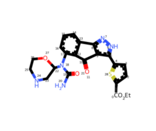 CCOC(=O)c1ccc(-c2[nH]nc3c2C(=O)c2c-3cccc2N(C(N)=O)C2CNCCO2)s1